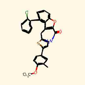 Cc1cc(-c2ccc(Cc3c(C(N)=O)oc4cccc(-c5ccccc5Cl)c34)s2)ccc1OC(Cl)(Cl)Cl